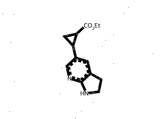 CCOC(=O)C1CC1c1cnc2c(c1)CCN2